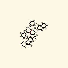 CC1(C)C2=C(CCCC2)c2c1cc1c(c2-c2ccccc2)-c2ccc(N(c3ccc4ccccc4c3)c3ccccc3C3=CC=CCC3)cc2C1(C)C